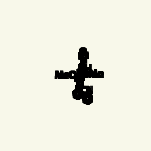 COc1cc(OCC2C=CC=C(c3ccccc3)C2C#N)cc(OC)c1CNCCN1CCOCC1